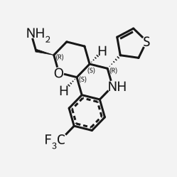 NC[C@H]1CC[C@@H]2[C@H](O1)c1cc(C(F)(F)F)ccc1N[C@H]2C1C=CSC1